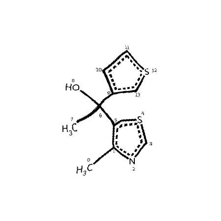 Cc1ncsc1C(C)(O)c1ccsc1